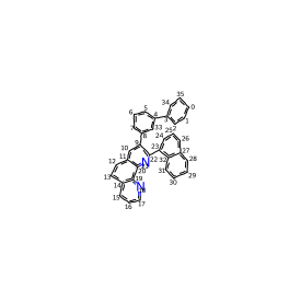 c1ccc(-c2cccc(-c3cc4ccc5cccnc5c4nc3-c3cccc4ccccc34)c2)cc1